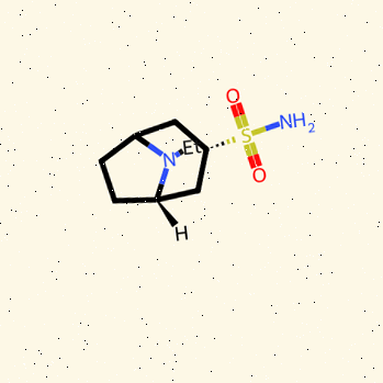 CCN1C2CC[C@H]1C[C@@H](S(N)(=O)=O)C2